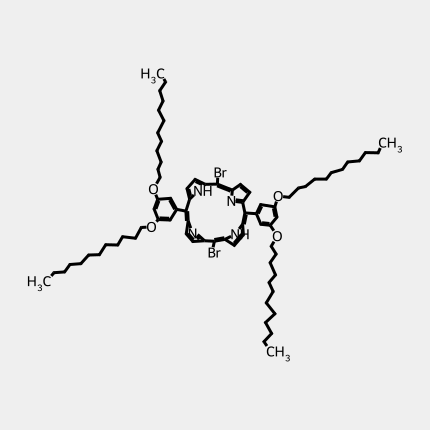 CCCCCCCCCCCCOc1cc(OCCCCCCCCCCCC)cc(-c2c3nc(c(Br)c4ccc([nH]4)c(-c4cc(OCCCCCCCCCCCC)cc(OCCCCCCCCCCCC)c4)c4nc(c(Br)c5ccc2[nH]5)C=C4)C=C3)c1